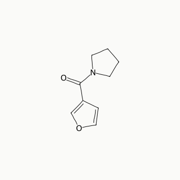 O=C(c1ccoc1)N1CCCC1